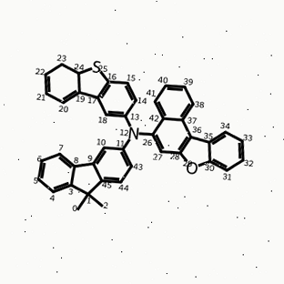 CC1(C)c2ccccc2-c2cc(N(c3ccc4c(c3)C3=CC=CCC3S4)c3cc4oc5ccccc5c4c4ccccc34)ccc21